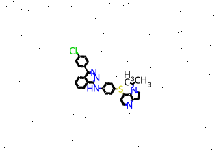 CC(C)n1ccc2nccc(Sc3ccc(Nc4nnc(-c5ccc(Cl)cc5)c5ccccc45)cc3)c21